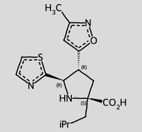 Cc1cc([C@@H]2C[C@@](CC(C)C)(C(=O)O)N[C@H]2c2nccs2)on1